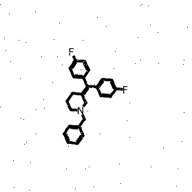 Fc1ccc(C(=C2CCCN(Cc3ccccc3)C2)c2ccc(F)cc2)cc1